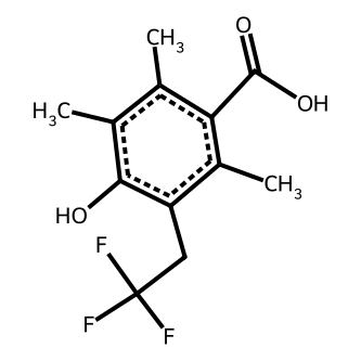 Cc1c(C)c(C(=O)O)c(C)c(CC(F)(F)F)c1O